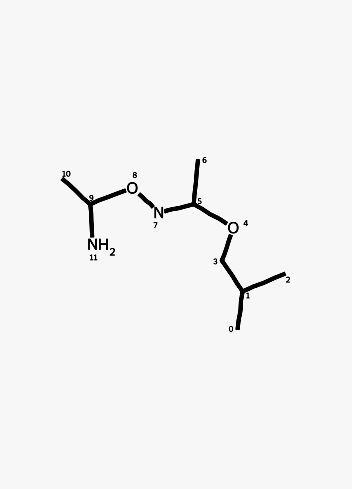 CC(C)COC(C)[N]OC(C)N